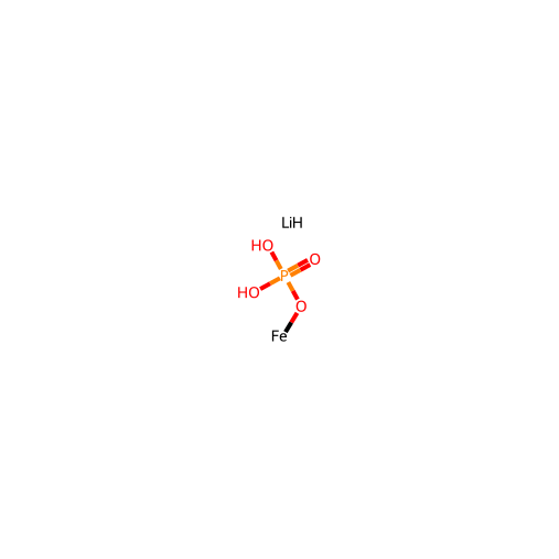 O=P(O)(O)[O][Fe].[LiH]